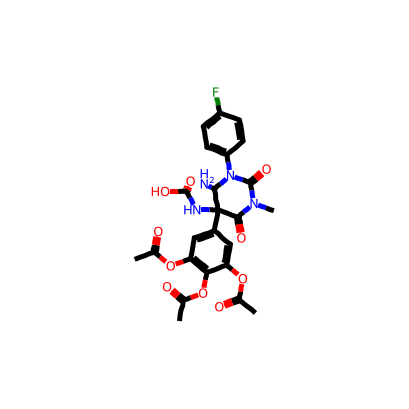 CC(=O)Oc1cc(C2(NC(=O)O)C(=O)N(C)C(=O)N(c3ccc(F)cc3)C2N)cc(OC(C)=O)c1OC(C)=O